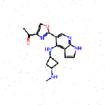 CN[C@H]1C[C@@H](Nc2c(-c3nc(C(C)=O)co3)cnc3[nH]ccc23)C1